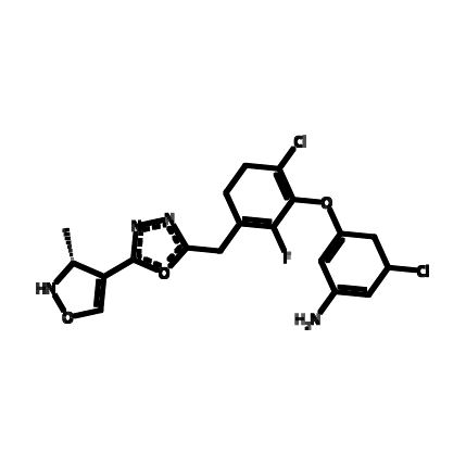 C[C@H]1NOC=C1c1nnc(CC2=C(F)C(OC3=CC(N)=CC(Cl)C3)=C(Cl)CC2)o1